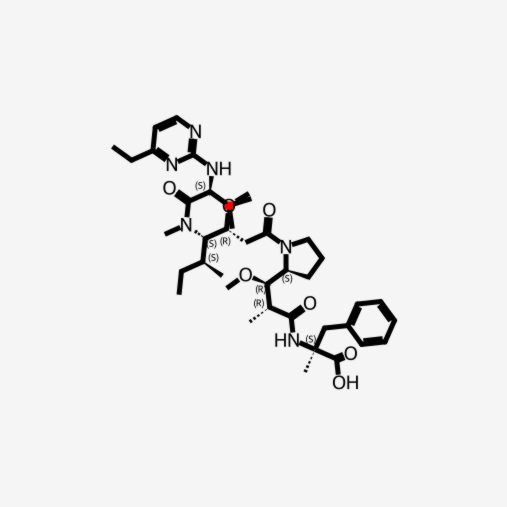 CCc1ccnc(N[C@H](C(=O)N(C)[C@@H]([C@@H](C)CC)[C@@H](CC(=O)N2CCC[C@H]2[C@H](OC)[C@@H](C)C(=O)N[C@@](C)(Cc2ccccc2)C(=O)O)OC)C(C)C)n1